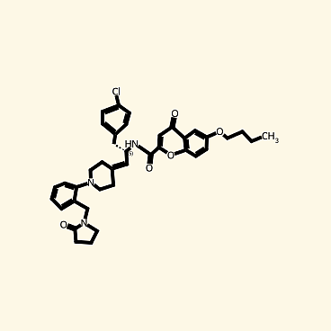 CCCCOc1ccc2oc(C(=O)N[C@H](C=C3CCN(c4ccccc4CN4CCCC4=O)CC3)Cc3ccc(Cl)cc3)cc(=O)c2c1